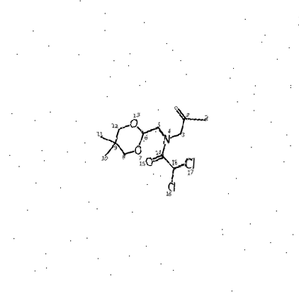 C=C(C)CN(CC1OCC(C)(C)CO1)C(=O)C(Cl)Cl